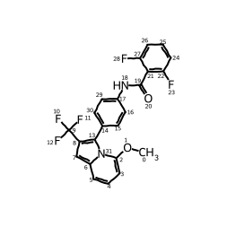 COc1cccc2cc(C(F)(F)F)c(-c3ccc(NC(=O)c4c(F)cccc4F)cc3)n12